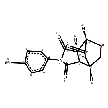 CCCc1ccc(N2C(=O)C3[C@H]4CC[C@H](C(=O)C4)[C@@H]3C2=O)cc1